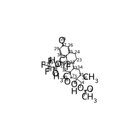 CC(=O)OC[C@]1(O)C(=O)[C@@]2(C)C[C@H](OC(=O)C(F)(F)F)[C@@]3(F)C(CCC4=CC(=O)C=C[C@@]43C)C2C[C@@H]1C